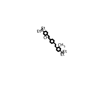 CCN(CC)c1ccc(C=Cc2ccc(C=Cc3ccc(N(CC)CC)cc3C)cc2)c(C)c1